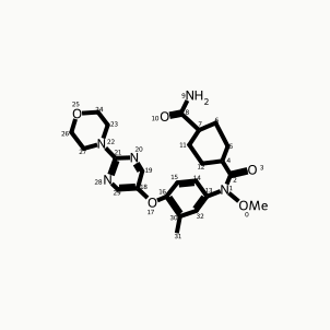 CON(C(=O)C1CCC(C(N)=O)CC1)c1ccc(Oc2cnc(N3CCOCC3)nc2)c(C)c1